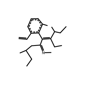 C=Cc1cccc(C)c1C(/C(CC(C)CC)=N\C)=C(/CC)C(C)CC